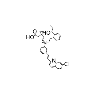 CCC(O)c1ccccc1CC[C@@H](SCC1(CC(=O)O)CC1)c1cccc(C=Cc2ccc3ccc(Cl)cc3n2)c1